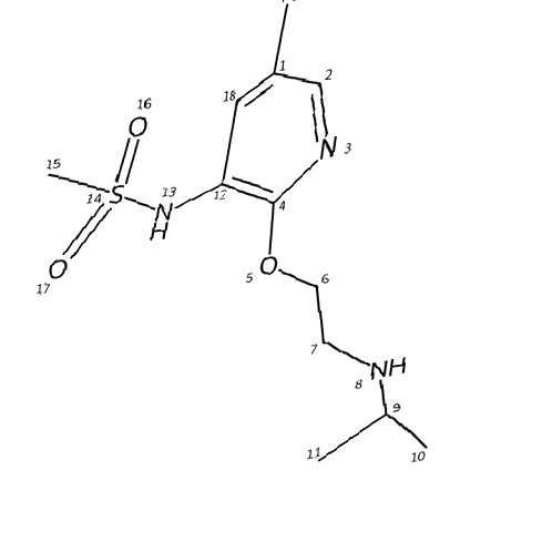 [2H]c1cnc(OCCNC(C)C)c(NS(C)(=O)=O)c1